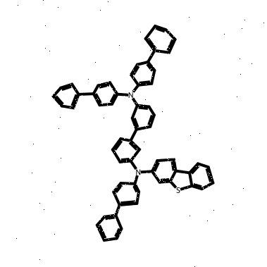 c1ccc(-c2ccc(N(c3ccc(-c4ccccc4)cc3)c3cccc(-c4cccc(N(c5ccc(-c6ccccc6)cc5)c5ccc6c(c5)sc5ccccc56)c4)c3)cc2)cc1